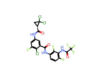 O=C(Nc1ccc(F)c(NC(=O)C(F)(F)F)c1F)c1cc(NC(=O)[C@H]2CC2(Cl)Cl)cc(F)c1Cl